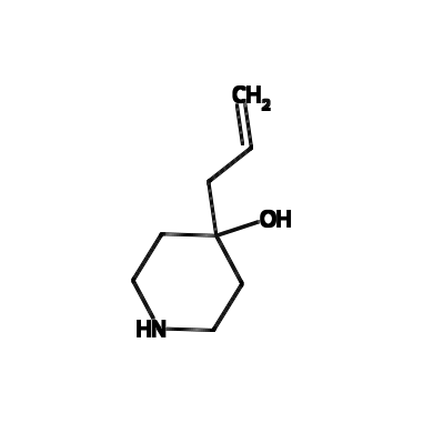 C=CCC1(O)CCNCC1